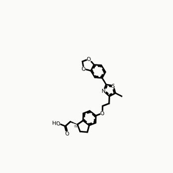 Cc1sc(-c2ccc3c(c2)OCO3)nc1CCOc1ccc2c(c1)CC[C@H]2CC(=O)O